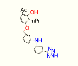 CCCc1c(OCc2cccc(Nc3cccc(-c4nn[nH]n4)c3)c2)ccc(C(C)=O)c1O